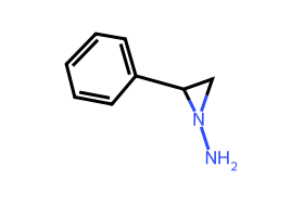 NN1CC1c1ccccc1